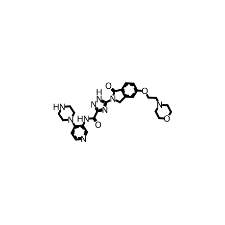 O=C(Nc1cnccc1N1CCNCC1)c1n[nH]c(N2Cc3cc(OCCN4CCOCC4)ccc3C2=O)n1